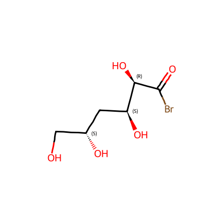 O=C(Br)[C@H](O)[C@@H](O)C[C@H](O)CO